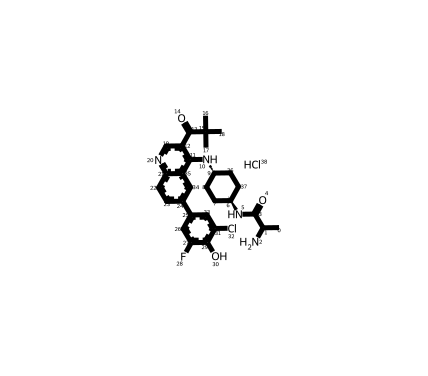 CC(N)C(=O)N[C@H]1CC[C@H](Nc2c(C(=O)C(C)(C)C)cnc3ccc(-c4cc(F)c(O)c(Cl)c4)cc23)CC1.Cl